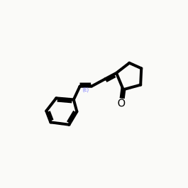 O=C1CCCC1=C/C=C/c1ccccc1